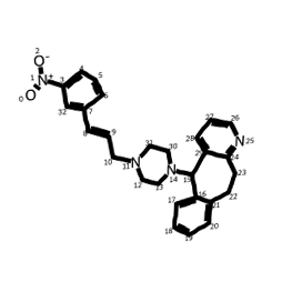 O=[N+]([O-])c1cccc(C=CCN2CCN(C3c4ccccc4CCc4ncccc43)CC2)c1